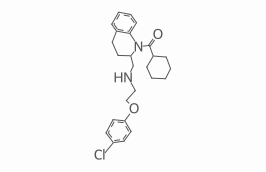 O=C(C1CCCCC1)N1c2ccccc2CCC1CNCCOc1ccc(Cl)cc1